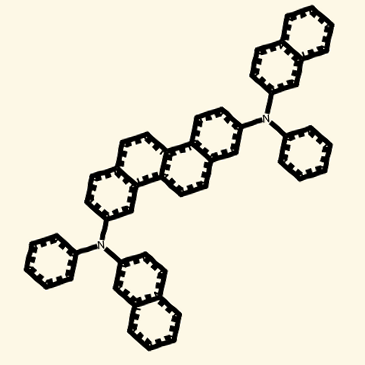 c1ccc(N(c2ccc3ccccc3c2)c2ccc3c(ccc4c5cc(N(c6ccccc6)c6ccc7ccccc7c6)ccc5ccc34)c2)cc1